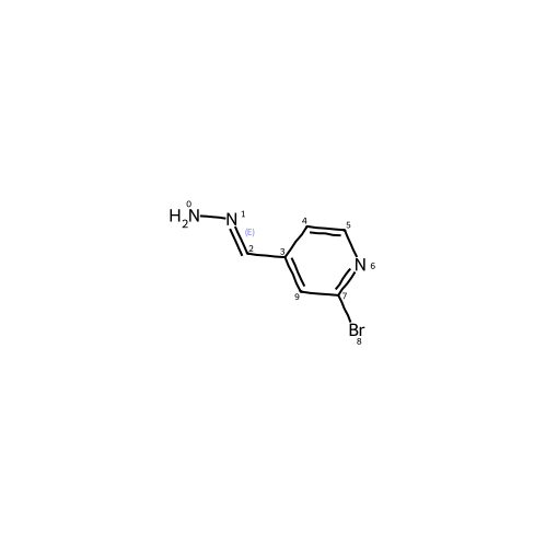 N/N=C/c1ccnc(Br)c1